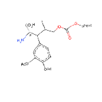 CCCCCOC(=O)OCC(C)C(c1ccc(OC(C)=O)c(OC(C)=O)c1)[C@H](N)C(=O)O